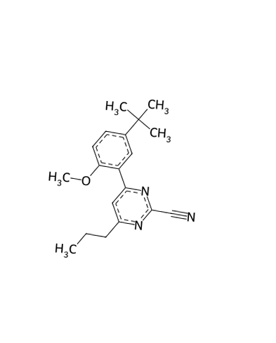 CCCc1cc(-c2cc(C(C)(C)C)ccc2OC)nc(C#N)n1